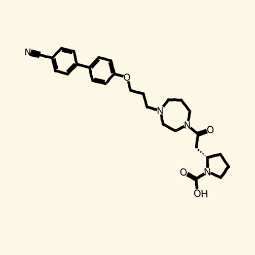 N#Cc1ccc(-c2ccc(OCCCN3CCCN(C(=O)C[C@@H]4CCCN4C(=O)O)CC3)cc2)cc1